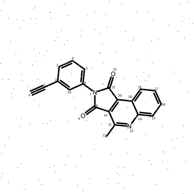 C#Cc1cccc(N2C(=O)c3c(C)nc4ccccc4c3C2=O)c1